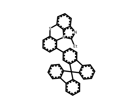 CCc1nc2cccc3c2n1-c1c(cccc1-c1ccc2c(c1)C1(c4ccccc4-c4ccccc41)c1ccccc1-2)S3